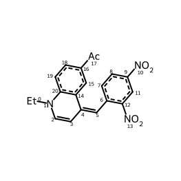 CCN1C=C/C(=C/c2ccc([N+](=O)[O-])cc2[N+](=O)[O-])c2cc(C(C)=O)ccc21